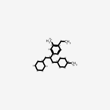 CCc1ccc(C(CC2CCCCC2)CC2CCC(C)CC2)cc1C